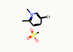 CCc1ccc(C)[n+](C)c1.CS(=O)(=O)[O-]